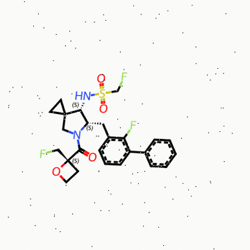 O=C(N1CC2(CC2)[C@H](NS(=O)(=O)CF)[C@@H]1Cc1cccc(-c2ccccc2)c1F)[C@]1(CF)CCO1